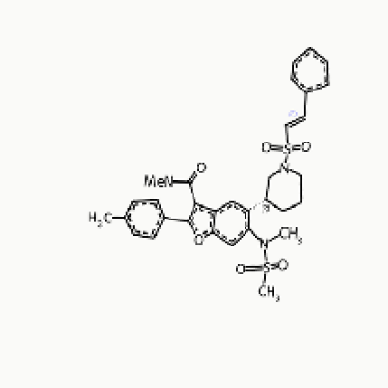 CNC(=O)c1c(-c2ccc(C)cc2)oc2cc(N(C)S(C)(=O)=O)c([C@H]3CCCN(S(=O)(=O)/C=C/c4ccccc4)C3)cc12